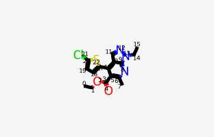 CCOC(=O)c1c(C)nc2c(cnn2CC)c1-c1ccc(Cl)s1